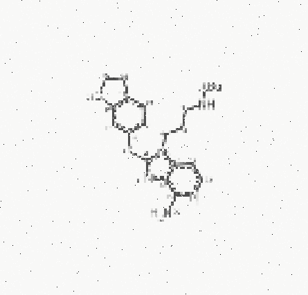 CC(C)(C)NCCCn1c(Sc2ccc3c(c2)OCC3)nc2c(N)nccc21